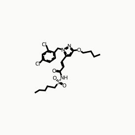 CCCCCS(=O)(=O)NC(=O)C=Cc1cc(OCCCC)nn1Cc1ccc(Cl)cc1Cl